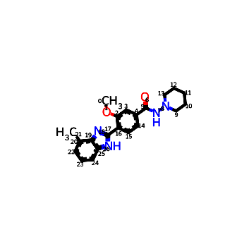 COc1cc(C(=O)NN2CCCCC2)ccc1-c1nc2c(C)cccc2[nH]1